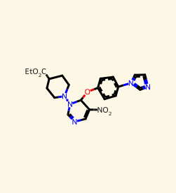 CCOC(=O)C1CCN(N2C=NC=C([N+](=O)[O-])C2Oc2ccc(-n3ccnc3)cc2)CC1